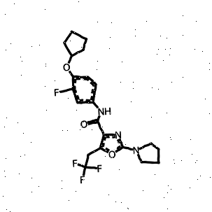 O=C(Nc1ccc(OC2CCCC2)c(F)c1)c1nc(N2CCCC2)oc1CC(F)(F)F